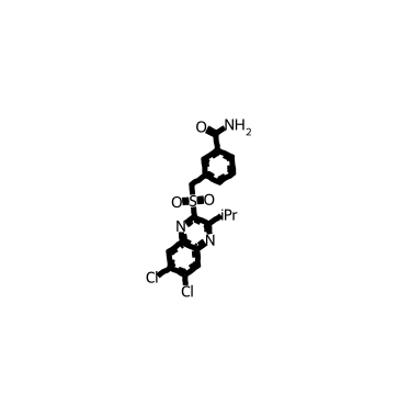 CC(C)c1nc2cc(Cl)c(Cl)cc2nc1S(=O)(=O)Cc1cccc(C(N)=O)c1